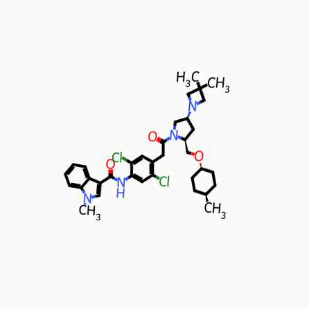 Cn1cc(C(=O)Nc2cc(Cl)c(CC(=O)N3C[C@@H](N4CC(C)(C)C4)C[C@H]3CO[C@H]3CC[C@H](C)CC3)cc2Cl)c2ccccc21